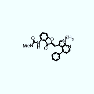 CNC(=O)Nc1cccc2c1C(=O)/C(=C/c1cn(C)c3nccc(-c4ccccc4)c13)O2